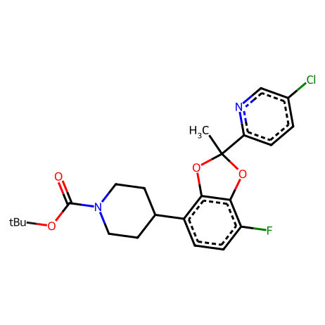 CC(C)(C)OC(=O)N1CCC(c2ccc(F)c3c2OC(C)(c2ccc(Cl)cn2)O3)CC1